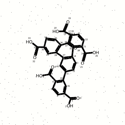 O=C(O)c1ccc(C(=O)O)c(-c2ccc(-c3cc(C(=O)O)ccc3C(=O)O)c(-c3cc(C(=O)O)ccc3C(=O)O)c2)c1